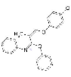 CC(=COc1ccc(Cl)cc1)/C(=N\c1ccccc1)Oc1ccccc1